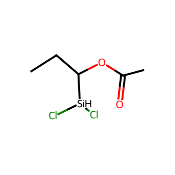 CCC(OC(C)=O)[SiH](Cl)Cl